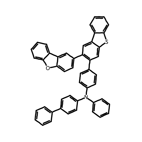 c1ccc(-c2ccc(N(c3ccccc3)c3ccc(-c4cc5sc6ccccc6c5cc4-c4ccc5oc6ccccc6c5c4)cc3)cc2)cc1